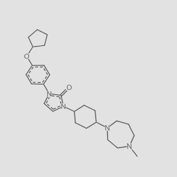 CN1CCCN(C2CCC(n3ccn(-c4ccc(OC5CCCC5)cc4)c3=O)CC2)CC1